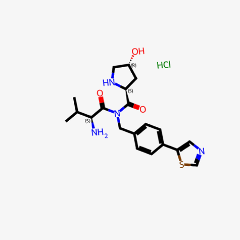 CC(C)[C@H](N)C(=O)N(Cc1ccc(-c2cncs2)cc1)C(=O)[C@@H]1C[C@@H](O)CN1.Cl